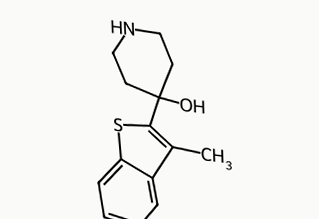 Cc1c(C2(O)CCNCC2)sc2ccccc12